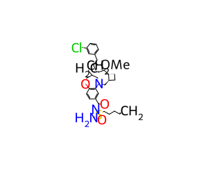 C=CCCCS(N)(=O)=NC(=O)c1ccc2c(c1)N(C[C@@H]1CC[C@H]1[C@H](C=C)OC)C[C@@](C=C)(CCCc1cccc(Cl)c1)CO2